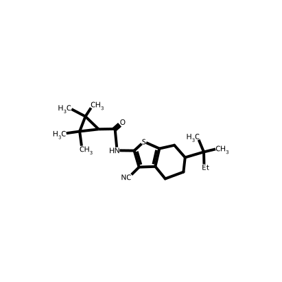 CCC(C)(C)C1CCc2c(sc(NC(=O)C3C(C)(C)C3(C)C)c2C#N)C1